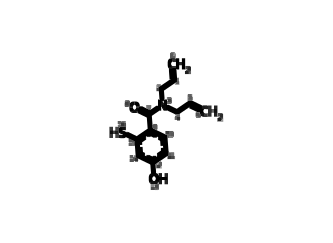 C=CCN(CC=C)C(=O)c1ccc(O)cc1S